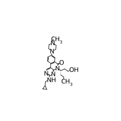 CCC[C@@H](CCO)n1c(=O)c2cc(N3CCN(C)CC3)ccc2c2cnc(NCC3CC3)nc21